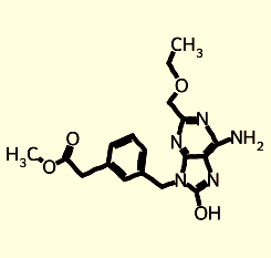 CCOCc1nc(N)c2nc(O)n(Cc3cccc(CC(=O)OC)c3)c2n1